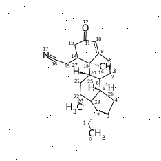 CC[C@H]1CC[C@H]2[C@@H]3CCC4=CC(=O)CC(CC#N)[C@]4(C)[C@H]3CC[C@]12C